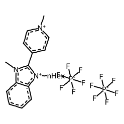 CCCCCC[n+]1c(-c2cc[n+](C)cc2)n(C)c2ccccc21.F[P-](F)(F)(F)(F)F.F[P-](F)(F)(F)(F)F